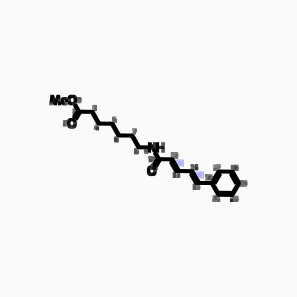 COC(=O)CCCCCCNC(=O)/C=C/C=C/c1ccccc1